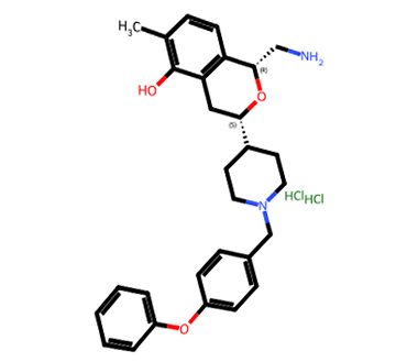 Cc1ccc2c(c1O)C[C@@H](C1CCN(Cc3ccc(Oc4ccccc4)cc3)CC1)O[C@H]2CN.Cl.Cl